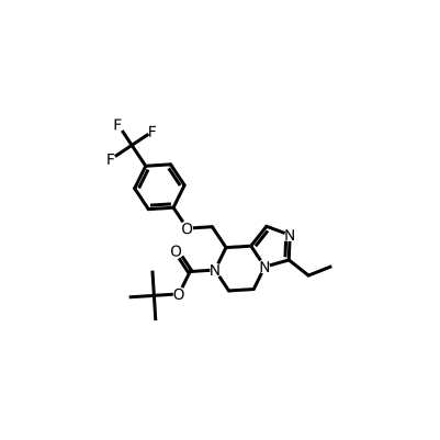 CCc1ncc2n1CCN(C(=O)OC(C)(C)C)C2COc1ccc(C(F)(F)F)cc1